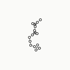 c1ccc(-c2ccc(-n3c4ccccc4c4cc(-c5ccc6c(c5)c5ccccc5n6-c5ccc(-c6cccc(-c7ccc(-c8cccc(-c9ccc(C%10(c%11ccccc%11)c%11ccccc%11-c%11ccccc%11%10)cc9)c8)cc7)c6)cc5)ccc43)cc2)cc1